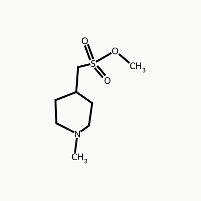 COS(=O)(=O)CC1CCN(C)CC1